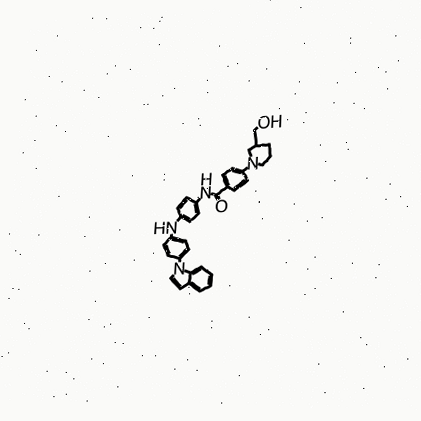 O=C(Nc1ccc(Nc2ccc(-n3ccc4ccccc43)cc2)cc1)c1ccc(N2CCCC(CO)C2)cc1